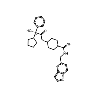 N=C(NCc1ccc2occc2c1)N1CCC(OC(=O)[C@](O)(c2ccccc2)C2CCCC2)CC1